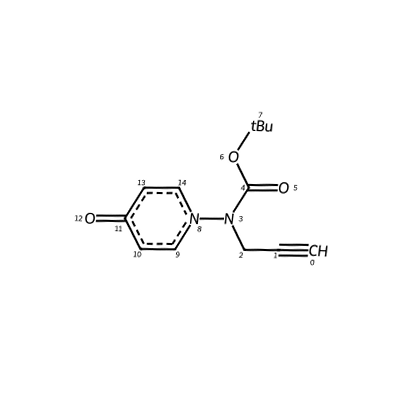 C#CCN(C(=O)OC(C)(C)C)n1ccc(=O)cc1